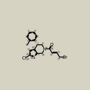 Cc1ccccc1[C@@H]1CN(C(=O)/C=C/CBr)Cc2sc(Cl)cc21